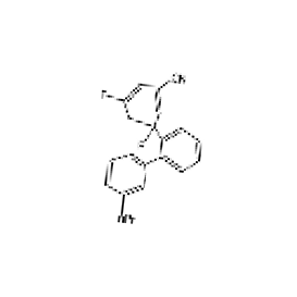 CCCc1cccc(-c2ccccc2C2(F)C=C(C#N)C=C(F)C2)c1